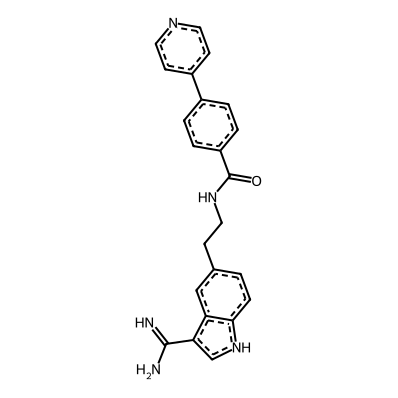 N=C(N)c1c[nH]c2ccc(CCNC(=O)c3ccc(-c4ccncc4)cc3)cc12